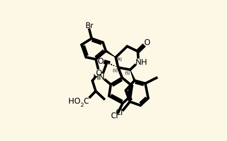 Cc1ccc(Cl)cc1[C@@H]1NC(=O)C[C@H](c2cc(Br)ccc2OCC(C)C(=O)O)[C@@]12C(=O)Nc1cc(Cl)ccc12